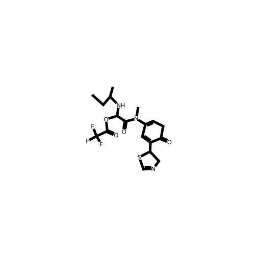 CCC(C)NC(OC(=O)C(F)(F)F)C(=O)N(C)C1=CCC(=O)C(C2CN=CS2)=C1